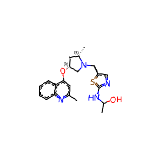 Cc1cc(O[C@@H]2C[C@H](C)N(Cc3cnc(NC(C)O)s3)C2)c2ccccc2n1